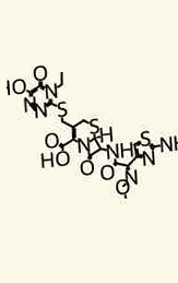 CCn1c(SCC2=C(C(=O)O)N3C(=O)C(NC(=O)/C(=N\OC)c4csc(N)n4)[C@H]3SC2)nnc(O)c1=O